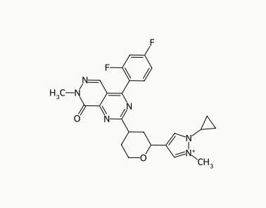 Cn1ncc2c(-c3ccc(F)cc3F)nc(C3CCOC(c4cn(C5CC5)[n+](C)c4)C3)nc2c1=O